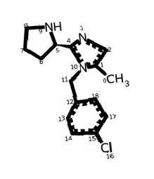 Cc1cnc([C@H]2CCCN2)n1Cc1ccc(Cl)cc1